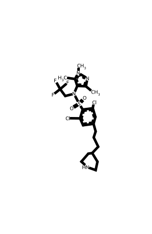 Cc1nn(C)c(C)c1N(CC(F)(F)F)S(=O)(=O)c1c(Cl)cc(CCCC2CCNCC2)cc1Cl